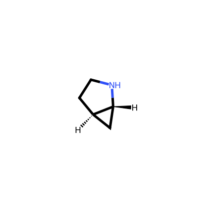 C1C[C@@H]2C[C@H]2N1